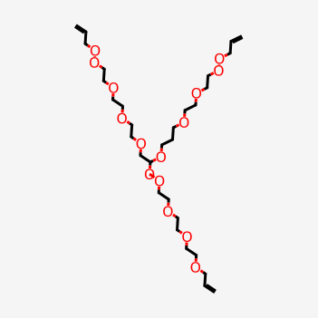 C=CCOCCOCCOCCOOC(COCCOCCOCCOOCC=C)OCCCOCCOCCOOCC=C